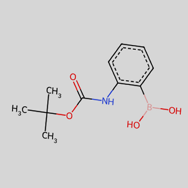 CC(C)(C)OC(=O)Nc1ccccc1B(O)O